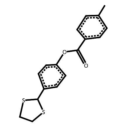 Cc1ccc(C(=O)Oc2ccc(C3SCCS3)cc2)cc1